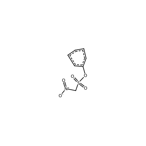 O=[N+]([O-])CS(=O)(=O)Oc1ccccc1